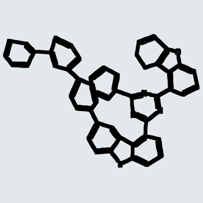 C1=Cc2oc3cccc(-c4nc(-c5ccccc5)nc(-c5cccc6sc7ccc(-c8ccc(-c9cccc(-c%10ccccc%10)c9)cc8)cc7c56)n4)c3c2CC1